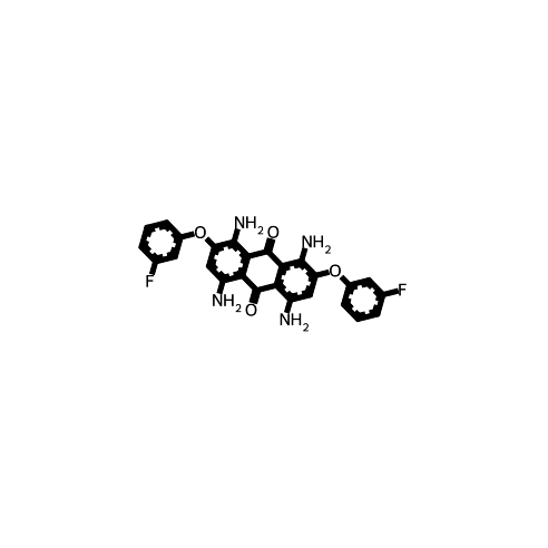 Nc1cc(Oc2cccc(F)c2)c(N)c2c1C(=O)c1c(N)cc(Oc3cccc(F)c3)c(N)c1C2=O